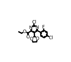 CCOC(=O)c1nc(Cl)nc(-c2ccc(Cl)cc2F)c1C1OCCO1